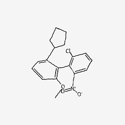 COc1cccc(C2CCCC2)c1-c1c(Cl)cccc1[N+](=O)[O-]